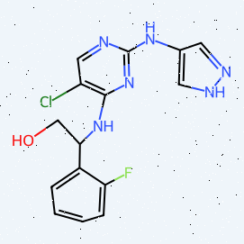 OCC(Nc1nc(Nc2cn[nH]c2)ncc1Cl)c1ccccc1F